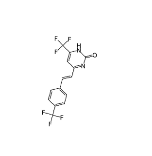 O=c1nc(C=Cc2ccc(C(F)(F)F)cc2)cc(C(F)(F)F)[nH]1